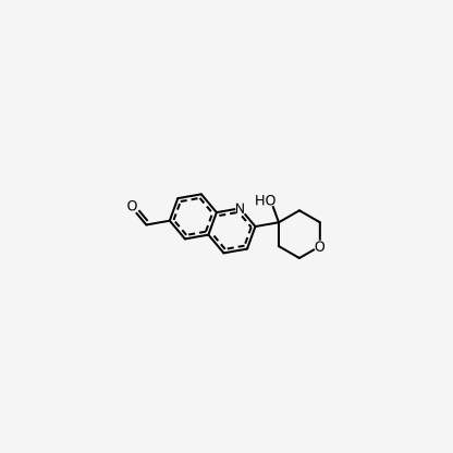 O=Cc1ccc2nc(C3(O)CCOCC3)ccc2c1